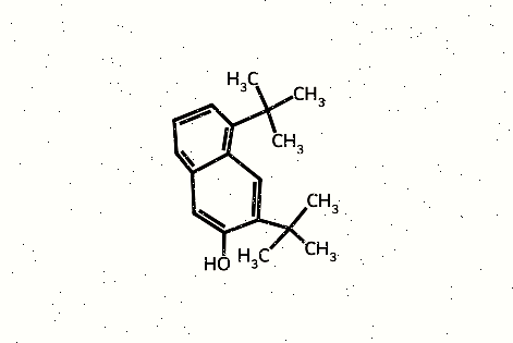 CC(C)(C)c1cc2c(C(C)(C)C)cccc2cc1O